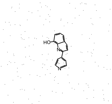 Oc1cccc2ccc(-c3ccncc3)nc12